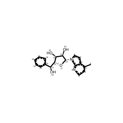 Cc1ccnc2c1ccn2[C@@H]1O[C@H]([C@@H](O)c2ccccc2)[C@@H](O)[C@H]1O